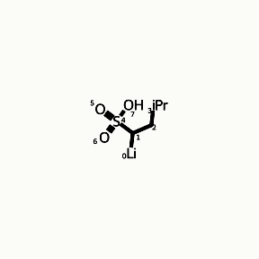 [Li][CH](CC(C)C)S(=O)(=O)O